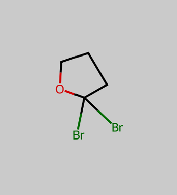 BrC1(Br)CCCO1